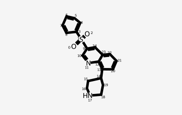 O=S(=O)(c1ccccc1)c1cnc2c(C3CCNCC3)cccc2c1